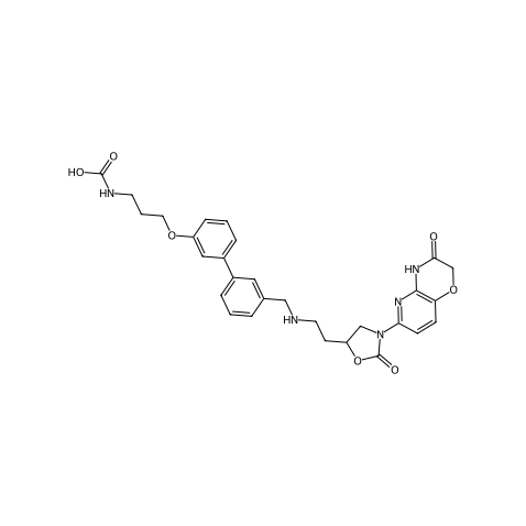 O=C(O)NCCCOc1cccc(-c2cccc(CNCCC3CN(c4ccc5c(n4)NC(=O)CO5)C(=O)O3)c2)c1